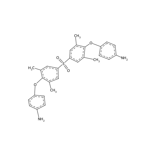 Cc1cc(S(=O)(=O)c2cc(C)c(Oc3ccc(N)cc3)c(C)c2)cc(C)c1Oc1ccc(N)cc1